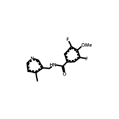 COc1c(F)cc(C(=O)NCc2cnccc2C)cc1F